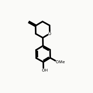 C=C1CCOC(c2ccc(O)c(OC)c2)C1